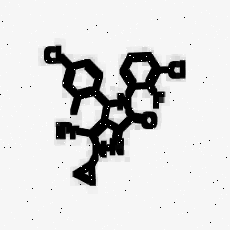 Cc1cc(Cl)ccc1C1c2c(nn(C3CC3)c2C(C)C)C(=O)N1c1cccc(Cl)c1F